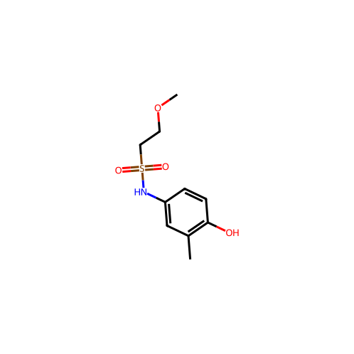 COCCS(=O)(=O)Nc1ccc(O)c(C)c1